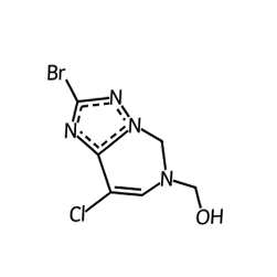 OCN1C=C(Cl)c2nc(Br)nn2C1